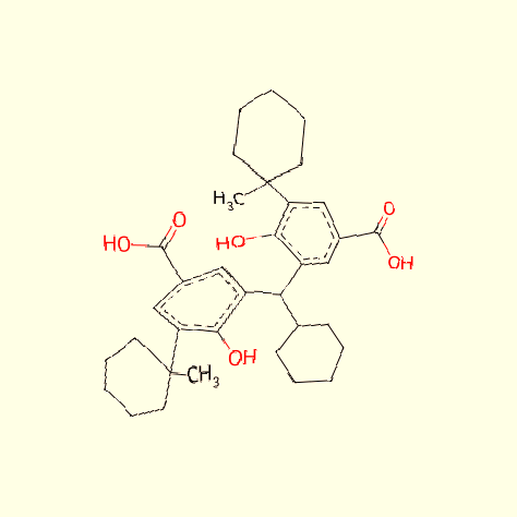 CC1(c2cc(C(=O)O)cc(C(c3cc(C(=O)O)cc(C4(C)CCCCC4)c3O)C3CCCCC3)c2O)CCCCC1